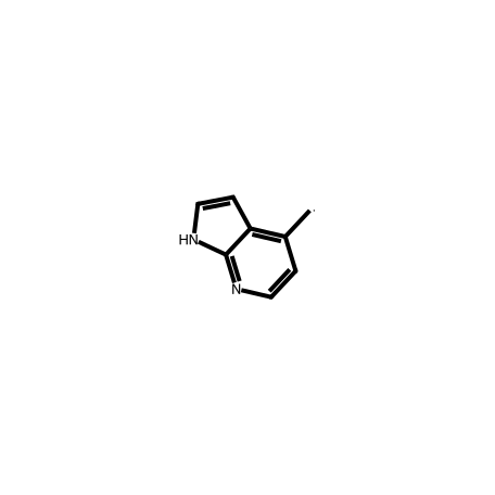 [CH2]c1ccnc2[nH]ccc12